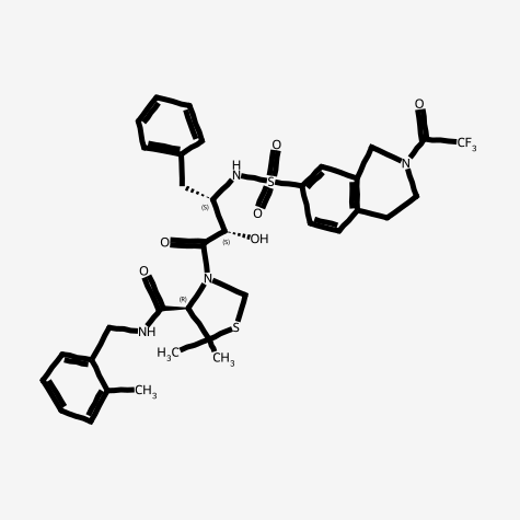 Cc1ccccc1CNC(=O)[C@H]1N(C(=O)[C@@H](O)[C@H](Cc2ccccc2)NS(=O)(=O)c2ccc3c(c2)CN(C(=O)C(F)(F)F)CC3)CSC1(C)C